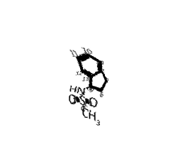 CS(=O)(=O)N[C@H]1CCc2ccccc21